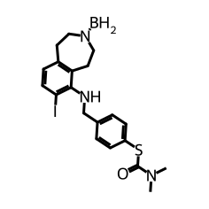 BN1CCc2ccc(I)c(NCc3ccc(SC(=O)N(C)C)cc3)c2CC1